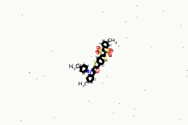 Cc1ccc(-n2c3cc(C)ccc3c3oc4c5cc6sc7c(c6cc5sc4c32)S(=O)(=O)C2=C7S(=O)(=O)c3cc(C)ccc32)cc1